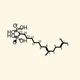 CC(C)=CCCC(C)=CCCCCCCC(P(=O)(O)O)P(=O)(O)O